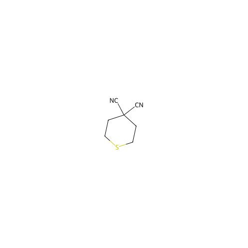 N#CC1(C#N)CCSCC1